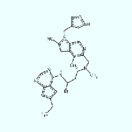 CCC(CCN(C)Cc1ncc2c(cc(C#N)n2Cc2cn[nH]c2)c1C)Nc1ncnc2sc(CC(F)(F)F)cc12